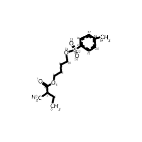 CCC(C)C(=O)OCCCCOS(=O)(=O)c1ccc(C)cc1